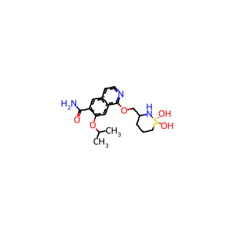 CC(C)Oc1cc2c(OCC3CCCS(O)(O)N3)nccc2cc1C(N)=O